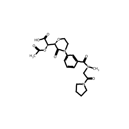 CC(=O)O[C@@H](C(=O)O)[C@H]1OCCN(c2cccc(C(=O)N(C)CC(=O)N3CCCC3)c2)C1=O